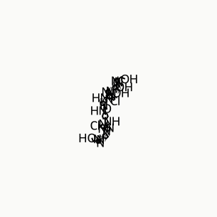 O=C(N[C@H]1CC[C@H](Nc2nc(Cl)nc3c2ncn3[C@H]2CC[C@@H](n3ncc(CO)n3)C2)CC1)N1CC[C@@H](Nc2nc(Cl)nc3c2ncn3[C@@H]2C[C@H](n3ncc(CO)n3)[C@@H](O)[C@H]2O)C1